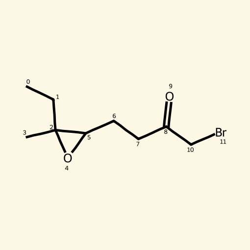 CCC1(C)OC1CCC(=O)CBr